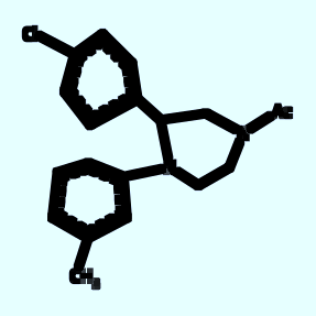 CC(=O)N1CCN(c2cccc(C)c2)C(c2ccc(Cl)cc2)C1